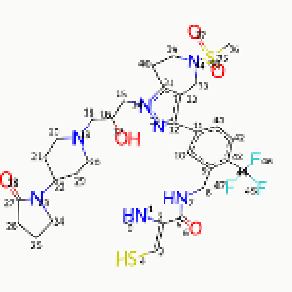 CN/C(=C\S)C(=O)NCc1cc(-c2nn(CC(O)CN3CCC(N4CCCC4=O)CC3)c3c2CN(S(C)(=O)=O)CC3)ccc1C(F)(F)F